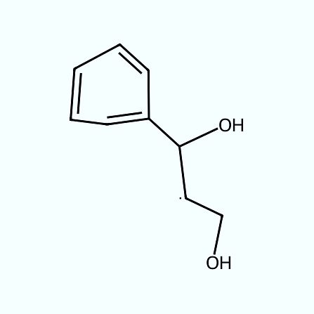 OC[CH]C(O)c1ccccc1